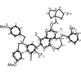 COc1ccc(CB(Cc2ccc(OC)cc2)c2cc(C)c(C(F)(F)F)c(-c3nc4c5c(nc(OC[C@@]67CCCN6C[C@H](F)C7)nc5c3F)N([C@H](C)c3cccnc3N)CCO4)c2)cc1